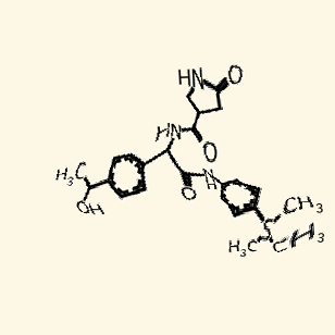 CC(O)c1ccc(C(NC(=O)C2CNC(=O)C2)C(=O)Nc2ccc(S(C)(C)C)cc2)cc1